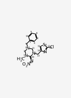 CN1CN(Cc2ccccc2)CN(Cc2csc(Cl)n2)C1=N[N+](=O)[O-]